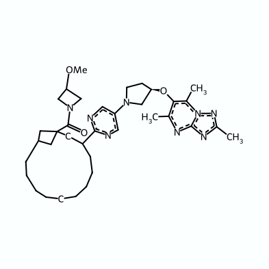 COC1CN(C(=O)C23CC(CCCCCCCCCC(c4ncc(N5CC[C@@H](Oc6c(C)nc7nc(C)nn7c6C)C5)cn4)C2)C3)C1